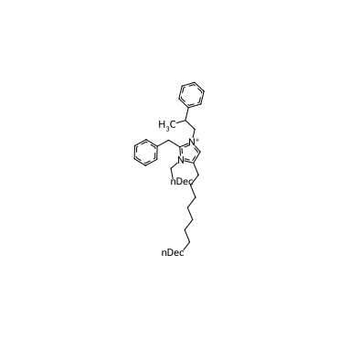 CCCCCCCCCCCCCCCCCc1c[n+](CC(C)c2ccccc2)c(Cc2ccccc2)n1CCCCCCCCCCC